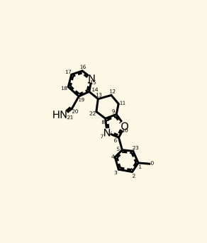 Cc1cccc(-c2nc3c(o2)CCC(c2ncccc2C=N)C3)c1